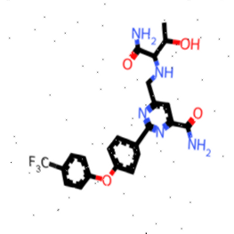 CC(O)C(NCc1cc(C(N)=O)nc(-c2ccc(Oc3ccc(C(F)(F)F)cc3)cc2)n1)C(N)=O